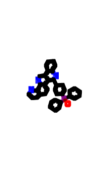 O=P(c1ccccc1)(c1ccccc1)c1ccc(-c2nc3ccccc3c3cnc4c(ccc5cccnc54)c23)cc1